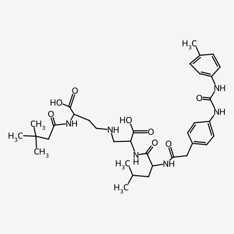 Cc1ccc(NC(=O)Nc2ccc(CC(=O)NC(CC(C)C)C(=O)NC(CNCCC(NC(=O)CC(C)(C)C)C(=O)O)C(=O)O)cc2)cc1